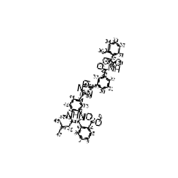 COC(=O)c1ccccc1CNc1cc(-c2noc(-c3cccc(C(=O)NS(=O)(=O)c4ccccc4C)c3)n2)ccc1N(C)CCC(C)C